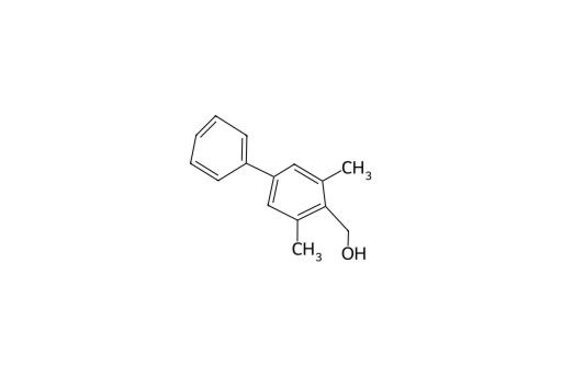 Cc1cc(-c2ccccc2)cc(C)c1CO